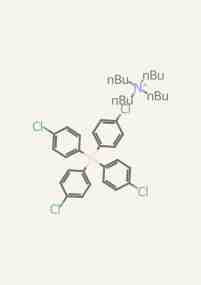 CCCC[N+](CCCC)(CCCC)CCCC.Clc1ccc([B-](c2ccc(Cl)cc2)(c2ccc(Cl)cc2)c2ccc(Cl)cc2)cc1